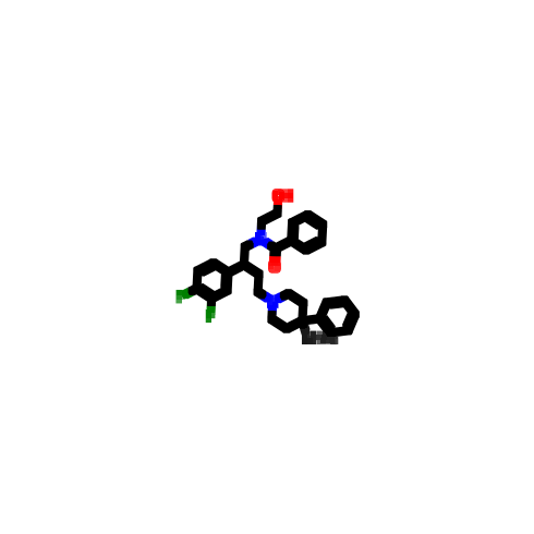 CC(=O)NC1(c2ccccc2)CCN(CCC(CN(CCO)C(=O)c2ccccc2)c2ccc(F)c(F)c2)CC1